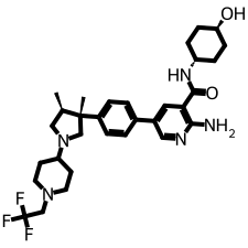 C[C@@H]1CN(C2CCN(CC(F)(F)F)CC2)C[C@@]1(C)c1ccc(-c2cnc(N)c(C(=O)N[C@H]3CC[C@H](O)CC3)c2)cc1